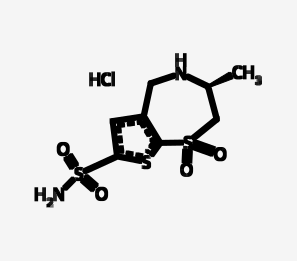 C[C@H]1CS(=O)(=O)c2sc(S(N)(=O)=O)cc2CN1.Cl